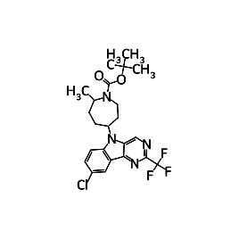 CC1CCC(n2c3ccc(Cl)cc3c3nc(C(F)(F)F)ncc32)CCN1C(=O)OC(C)(C)C